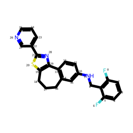 Fc1cccc(F)c1CNc1ccc2c(c1)CCCc1sc(-c3cccnc3)nc1-2